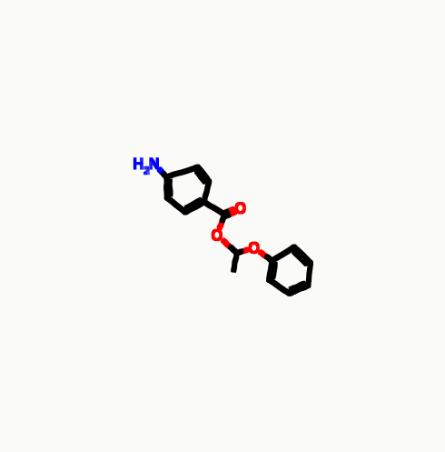 CC(OC(=O)c1ccc(N)cc1)Oc1ccccc1